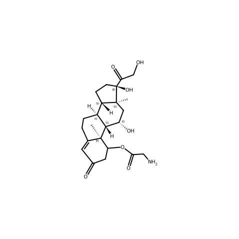 C[C@]12C[C@H](O)[C@H]3[C@@H](CCC4=CC(=O)CC(OC(=O)CN)[C@@]43C)[C@@H]1CC[C@]2(O)C(=O)CO